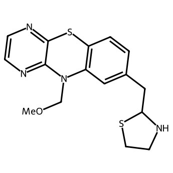 COCN1c2cc(CC3NCCS3)ccc2Sc2nccnc21